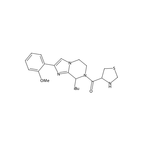 CCC(C)C1c2nc(-c3ccccc3OC)cn2CCN1C(=O)C1CSCN1